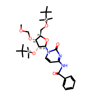 COCO[C@H]1[C@@H](O[Si](C)(C)C(C)(C)C)[C@H](n2ccc(NC(=O)c3ccccc3)nc2=O)O[C@@H]1CO[Si](C)(C)C(C)(C)C